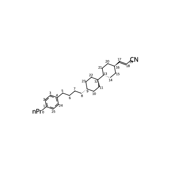 CCCc1ccc(CCCC[C@H]2CC[C@H]([C@H]3CC[C@H](C=CC#N)CC3)CC2)cc1